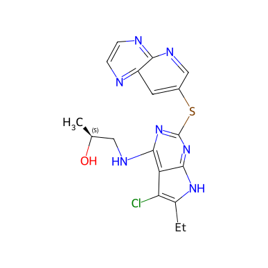 CCc1[nH]c2nc(Sc3cnc4nccnc4c3)nc(NC[C@H](C)O)c2c1Cl